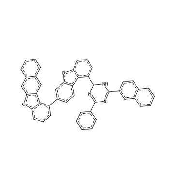 c1ccc(C2=NC(c3cccc4oc5cc(-c6cccc7oc8cc9ccccc9cc8c67)ccc5c34)NC(c3ccc4ccccc4c3)=N2)cc1